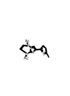 CC(=O)N1CCN(C(C)=O)n2cc(-c3ccc(C)s3)nc21